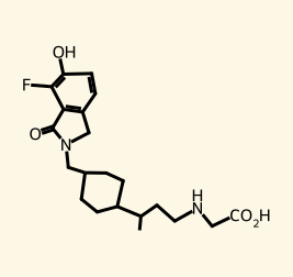 CC(CCNCC(=O)O)C1CCC(CN2Cc3ccc(O)c(F)c3C2=O)CC1